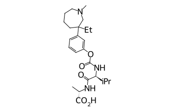 CCC1(c2cccc(OC(=O)N[C@H](C(=O)N[C@@H](C)C(=O)O)C(C)C)c2)CCCCN(C)C1